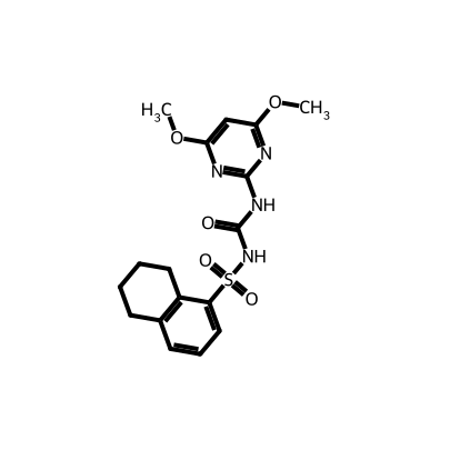 COc1cc(OC)nc(NC(=O)NS(=O)(=O)c2cccc3c2CCCC3)n1